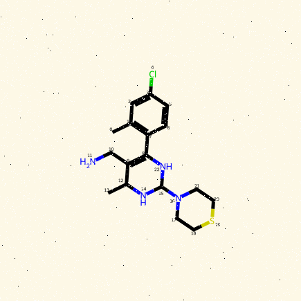 Cc1cc(Cl)ccc1C1=C(CN)C(C)NC(N2CCSCC2)N1